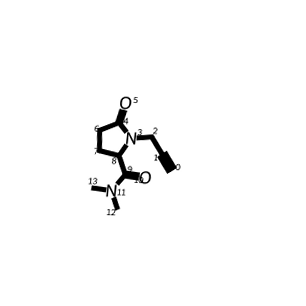 C#CCN1C(=O)CCC1C(=O)N(C)C